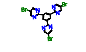 Brc1cnc(-c2cc(-c3ncc(Br)cn3)cc(-c3ncc(Br)cn3)c2)nc1